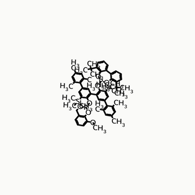 COc1cccc2c1OP(Oc1c(-c3cc(-c4c(C)cc(C)cc4C)cc([Si](C)(C)C)c3Op3oc4c(C(C)(C)C)cccc4c4cccc(C(C)(C)C)c4o3)cc(-c3c(C)cc(C)cc3C)cc1[Si](C)(C)C)OC2